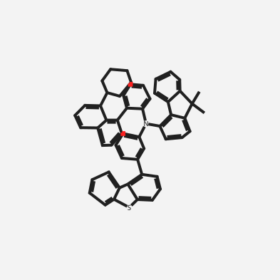 CC1(C)c2ccccc2-c2c(N(c3cccc(-c4cccc5sc6ccccc6c45)c3)c3ccccc3-c3cccc4cccc(C5CCCCC5)c34)cccc21